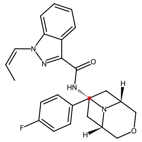 C/C=C\n1nc(C(=O)N[C@H]2C[C@H]3COC[C@@H](C2)N3Cc2ccc(F)cc2)c2ccccc21